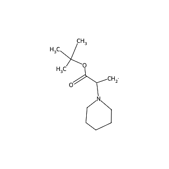 [CH2]C(C(=O)OC(C)(C)C)N1CCCCC1